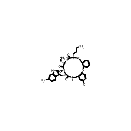 Cc1ccc2c(C[C@H]3C(=O)NCc4cc(Cl)ccc4Sc4ccccc4CN[C@@H](CCCN)C(=O)N[C@@H](CN)C(=O)N3C)c[nH]c2c1